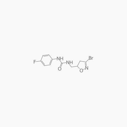 O=C(NCC1CC(Br)=NO1)Nc1ccc(F)cc1